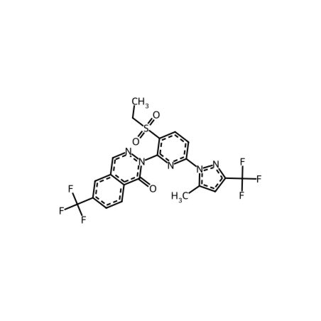 CCS(=O)(=O)c1ccc(-n2nc(C(F)(F)F)cc2C)nc1-n1ncc2cc(C(F)(F)F)ccc2c1=O